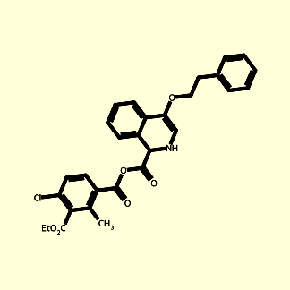 CCOC(=O)c1c(Cl)ccc(C(=O)OC(=O)C2NC=C(OCCc3ccccc3)c3ccccc32)c1C